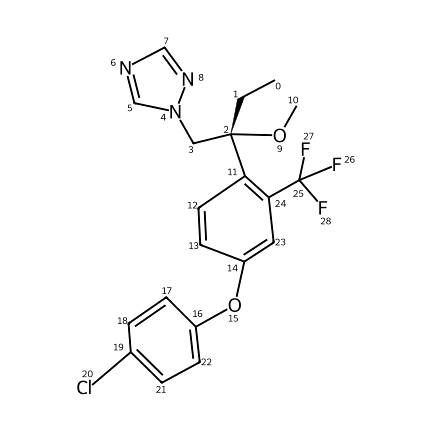 CC[C@@](Cn1cncn1)(OC)c1ccc(Oc2ccc(Cl)cc2)cc1C(F)(F)F